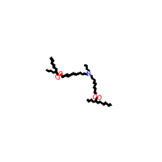 CCCCCCC(CCCC)C(=O)OCCCCCCCCCN(CCCC)CCCCCCCCCOC(=O)C(CCCC)CCCCCC